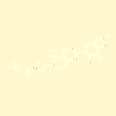 Cc1c(O)c(-c2ncc3c(=O)n(C4CN(C(=O)OC(C)(C)C)C4)ccc3n2)cc2cn(C)nc12